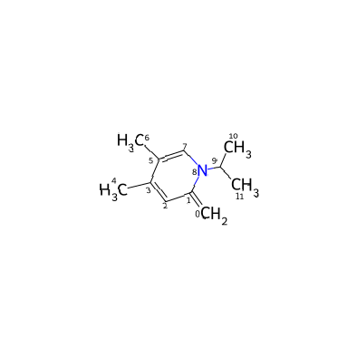 C=C1C=C(C)C(C)=CN1C(C)C